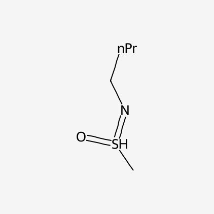 CCCC/N=[SH](/C)=O